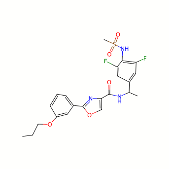 CCCOc1cccc(-c2nc(C(=O)NC(C)c3cc(F)c(NS(C)(=O)=O)c(F)c3)co2)c1